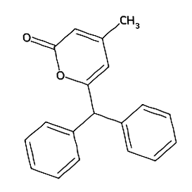 Cc1cc(C(c2ccccc2)c2ccccc2)oc(=O)c1